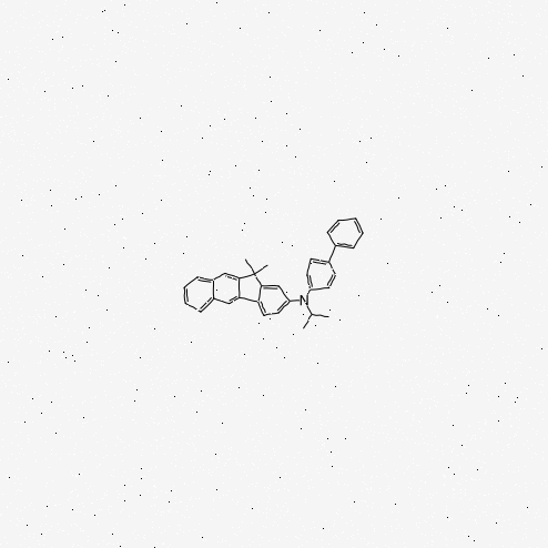 CC(C)N(c1ccc(-c2ccccc2)cc1)c1ccc2c(c1)C(C)(C)c1cc3ccccc3cc1-2